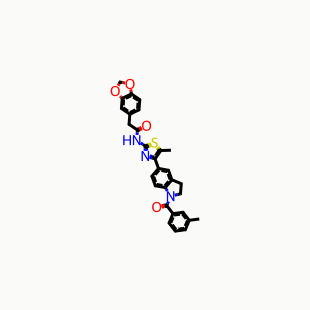 Cc1cccc(C(=O)N2CCc3cc(-c4nc(NC(=O)Cc5ccc6c(c5)OCO6)sc4C)ccc32)c1